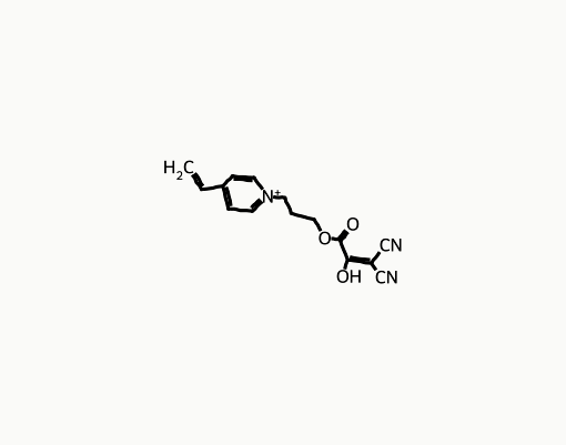 C=Cc1cc[n+](CCCOC(=O)C(O)=C(C#N)C#N)cc1